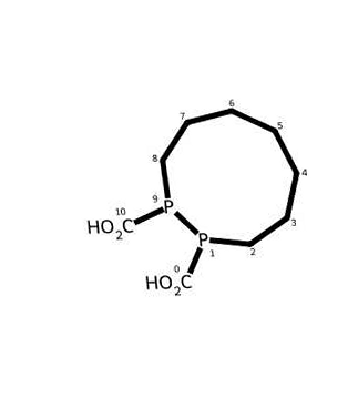 O=C(O)P1CCCCCCCP1C(=O)O